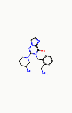 NCc1ccccc1Cn1c(N2CCCC(N)C2)nn2ccnc2c1=O